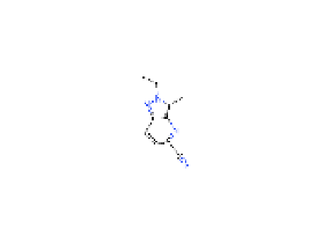 CCn1nc2ccc(C#N)nc2c1C